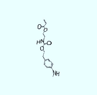 C=CC(=O)OCCNC(=O)OCCc1ccc(NC)cc1